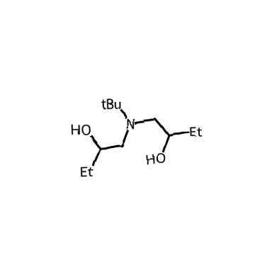 CCC(O)CN(CC(O)CC)C(C)(C)C